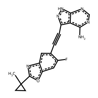 CC1(c2nc3cc(C#Cc4n[nH]c5ncnc(N)c45)c(F)cc3o2)CC1